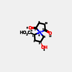 O=C(O)[C@@H]1C[C@@H](O)C[N+]12C(=O)CCC2=O